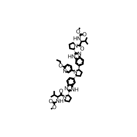 CCOc1ccc(N2[C@@H](c3ccc4nc([C@@H]5CCCN5C(=O)[C@@H](NC(=O)OC)C(C)C)[nH]c4c3)CC[C@@H]2c2ccc3nc([C@@H]4CCCN4C(=O)[C@@H](NC(=O)OC)C(C)C)[nH]c3c2)cn1